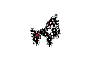 CC1COc2ccccc2N1C(=O)C(Cl)Cl.CCOC(=O)COC(=O)c1cc(Oc2ccc(C(F)(F)F)cc2Cl)ccc1[N+](=O)[O-].CCc1cccc(C)c1N(C(=O)CCl)C(C)COC.CS(=O)(=O)c1cc(C(F)(F)F)ccc1C(=O)c1cnoc1C1CC1